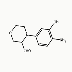 Nc1ccc(N2CCOCC2C=O)cc1O